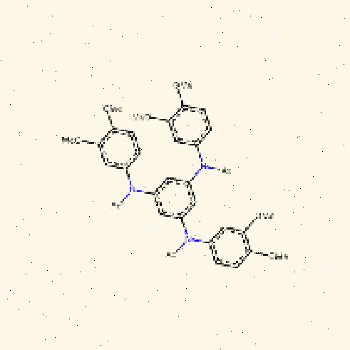 COc1ccc(N(C(C)=O)c2cc(N(C(C)=O)c3ccc(OC)c(OC)c3)cc(N(C(C)=O)c3ccc(OC)c(OC)c3)c2)cc1OC